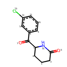 O=C1CCCC(C(=O)c2cccc(Cl)c2)N1